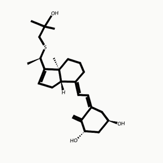 C=C1C(=CC=C2CCC[C@]3(C)C([C@@H](C)SCC(C)(C)O)=CC[C@@H]23)C[C@@H](O)C[C@@H]1O